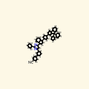 N#Cc1ccc(-c2cccc(-c3cc(-c4ccc(-c5ccc(-c6ccc7c(c6)C(c6ccccc6)(c6ccccc6)c6ccccc6-7)cc5)c5ccccc45)nc(-c4ccccc4)n3)c2)cc1